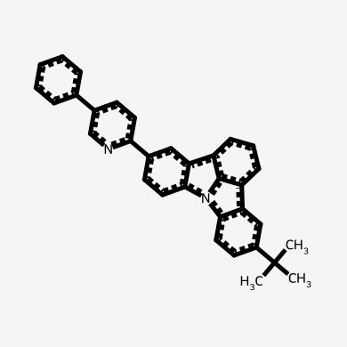 CC(C)(C)c1ccc2c(c1)c1cccc3c4cc(-c5ccc(-c6ccccc6)cn5)ccc4n2c31